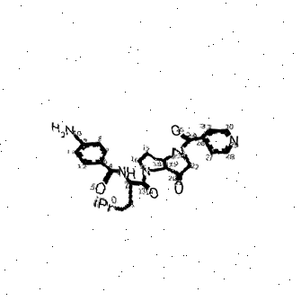 CC(C)CC(NC(=O)c1ccc(N)cc1)C(=O)N1CCC2C1C(=O)CN2C(=O)c1ccncc1